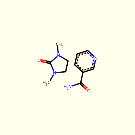 CN1CCN(C)C1=O.NC(=O)c1cccnc1